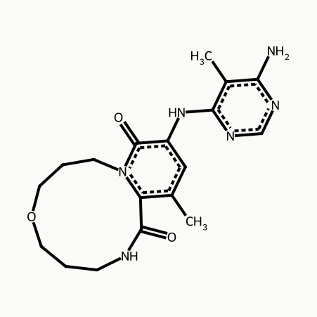 Cc1cc(Nc2ncnc(N)c2C)c(=O)n2c1C(=O)NCCCOCCC2